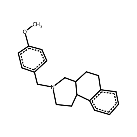 COc1ccc(CN2CCC3c4ccccc4CCC3C2)cc1